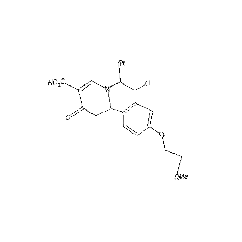 COCCOc1ccc2c(c1)C(Cl)C(C(C)C)N1C=C(C(=O)O)C(=O)CC21